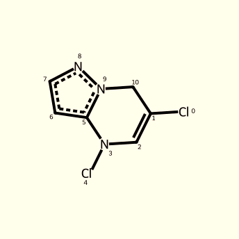 ClC1=CN(Cl)c2ccnn2C1